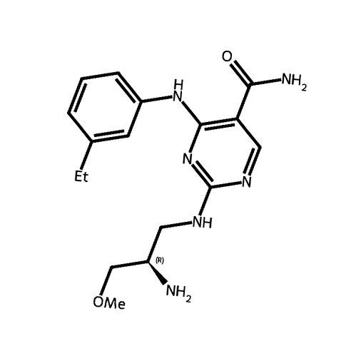 CCc1cccc(Nc2nc(NC[C@@H](N)COC)ncc2C(N)=O)c1